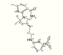 Cc1ccc(C(N)=O)c(N2C[C@@H](CCCNc3cccc([SH](=O)=O)n3)CC2(C)C)n1